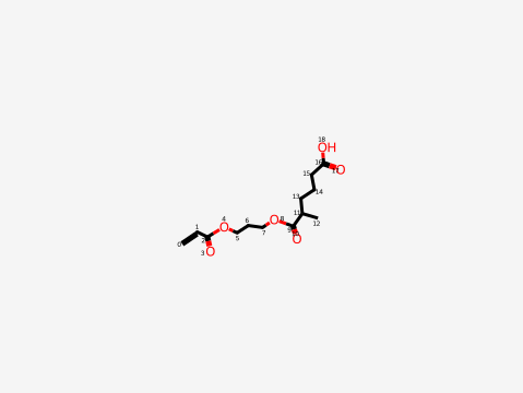 C=CC(=O)OCCCOC(=O)C(C)CCCC(=O)O